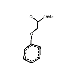 COC([O])COc1ccccc1